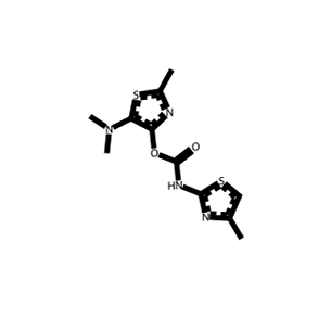 Cc1csc(NC(=O)Oc2nc(C)sc2N(C)C)n1